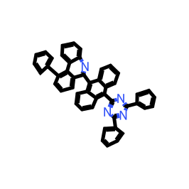 c1ccc(-c2nc(-c3ccccc3)nc(-c3c4ccccc4c(-c4nc5ccccc5c5c(-c6ccccc6)cccc45)c4ccccc34)n2)cc1